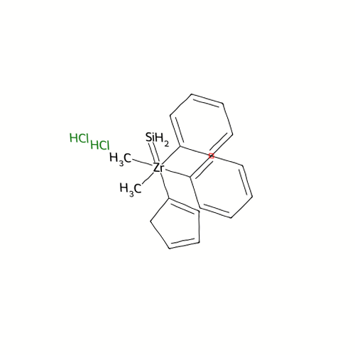 Cl.Cl.[CH3][Zr]([CH3])(=[SiH2])([C]1=CC=CC1)([c]1ccccc1)[c]1ccccc1